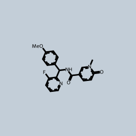 COc1ccc(C(NC(=O)c2ccc(=O)n(C)c2)c2ncccc2F)cc1